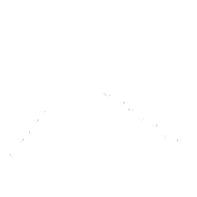 C1=Cc2ccccc2OC1.[Mo].[Mo].[Mo].[Mo].[Mo].[Mo].[Mo].[Mo].[Mo].[Mo].[Mo].[Mo].[V]